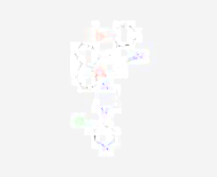 COc1ccccc1C(c1cccc2ccccc12)[C@@](C)(C#N)C(=O)N1CCN(c2ccncc2Cl)CC1